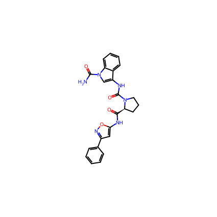 NC(=O)n1cc(NC(=O)N2CCC[C@H]2C(=O)Nc2cc(-c3ccccc3)no2)c2ccccc21